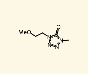 COCCn1nnn(C)c1=O